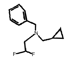 FC(F)CN(Cc1ccccc1)CC1[CH]C1